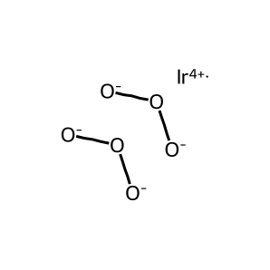 [Ir+4].[O-]O[O-].[O-]O[O-]